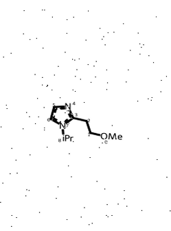 COCCc1nccn1C(C)C